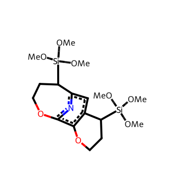 CO[Si](OC)(OC)C1CCOc2nc1cc1c2OCCC1[Si](OC)(OC)OC